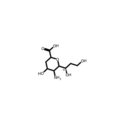 NC1C(O)CC(C(=O)O)OC1[C@H](O)CCO